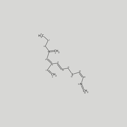 C=CC(=C/C(=C)CCC)/C=C/CS/C=C\N=C